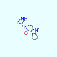 Cc1[nH]cnc1Cn1ccc2c(c1=O)c1ccccc1n2C